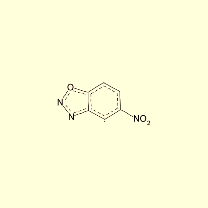 O=[N+]([O-])c1[c]c2nnoc2cc1